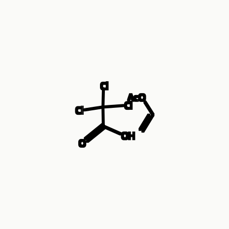 C=COC(C)=O.O=C(O)C(Cl)(Cl)Cl